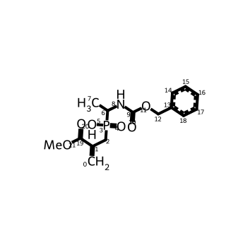 C=C(CP(=O)(O)C(C)NC(=O)OCc1ccccc1)C(=O)OC